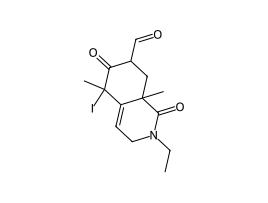 CCN1CC=C2C(C)(I)C(=O)C(C=O)CC2(C)C1=O